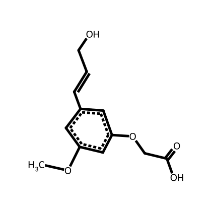 COc1cc(/C=C/CO)cc(OCC(=O)O)c1